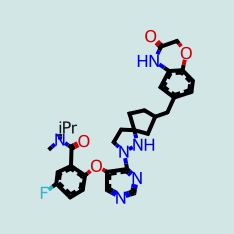 CC(C)N(C)C(=O)c1cc(F)ccc1Oc1cncnc1N1CCC2(CCC(Cc3ccc4c(c3)NC(=O)CO4)C2)N1